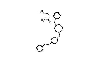 NCCN(C(N)=O)c1ccccc1CN1CCCN(Cc2ccc(OCc3ccccc3)cc2)CC1